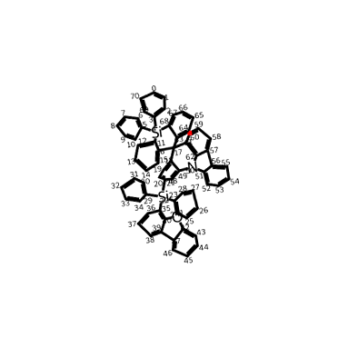 c1ccc([Si]2(c3ccccc3)c3ccccc3C3(c4ccc([Si](c5ccccc5)(c5ccccc5)c5cccc6c5oc5ccccc56)cc4-n4c5ccccc5c5cccc3c54)c3ccccc32)cc1